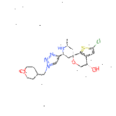 C[C@H]1C[C@@]2(C[C@@H](c3cn(CC4CCOCC4)nn3)N1)OC[C@@H](O)c1cc(Cl)sc12